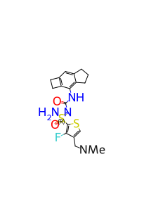 CNCc1csc([S@](N)(=O)=NC(=O)Nc2c3c(cc4c2CC4)CCC3)c1F